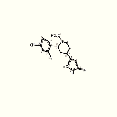 O=C(O)N1CC[C@@H](c2cc(=O)[nH]o2)C[C@@H]1c1ccc(Cl)cc1F